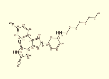 CCCCCCCCNc1cccc(-n2cc(C3NC(=O)NC3=O)c(-c3ccc(F)cc3)n2)c1